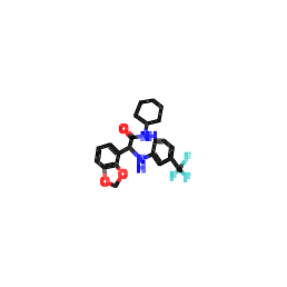 O=C(NC1CCCCC1)C(Nc1cccc(C(F)(F)F)c1)c1cccc2c1OCO2